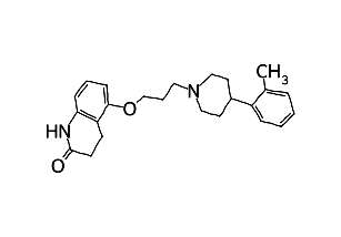 Cc1ccccc1C1CCN(CCCOc2cccc3c2CCC(=O)N3)CC1